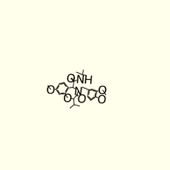 COc1ccc2c(c1)OC(C(C)C)C(=O)N(Cc1ccc3c(c1)OCO3)C2C(=O)NC(C)(C)C